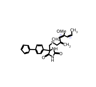 C=C(/C=C(\C=C/C)OC)CN(C=O)CC1(c2ccc(-c3ccccc3)cc2)NC(=O)NC1=O